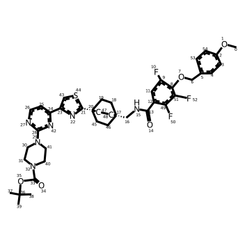 COc1ccc(COc2c(F)cc(C(=O)NC[C@]34CC[C@](c5nc(-c6ccnc(N7CCN(C(=O)OC(C)(C)C)CC7)n6)cs5)(CC3)CC4)c(F)c2F)cc1